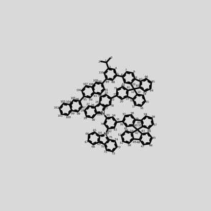 CC(C)c1cc(-c2ccc3c(c2)C2(c4ccccc4-c4cc(-c5ccc6c7ccccc7n(-c7cc(-c8ccc9c(c8)C8(c%10ccccc%10-c%10ccccc%108)c8ccccc8-9)cc(-n8c9ccccc9c9ccccc98)c7)c6c5)ccc42)c2ccccc2-3)cc(-c2ccc3cc(-c4ccc5ccccc5c4)ccc3c2)c1